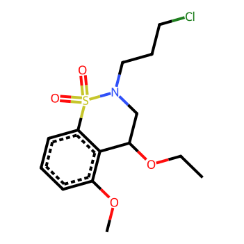 CCOC1CN(CCCCl)S(=O)(=O)c2cccc(OC)c21